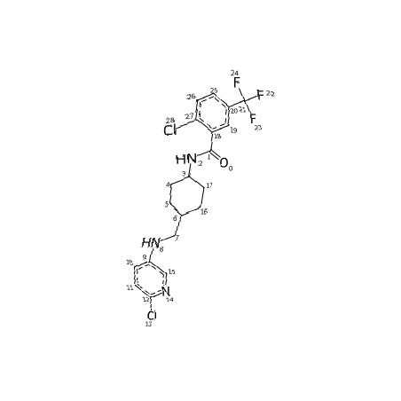 O=C(NC1CCC(CNc2ccc(Cl)nc2)CC1)c1cc(C(F)(F)F)ccc1Cl